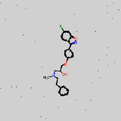 CN(CCc1ccccc1)C[C@H](O)COc1ccc(-c2noc3cc(F)ccc23)cc1